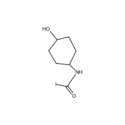 O=C(I)NC1CCC(O)CC1